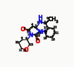 C[C@H](Nc1cc(=O)n(C2CCCOC2)c(=O)[nH]1)c1ccccc1